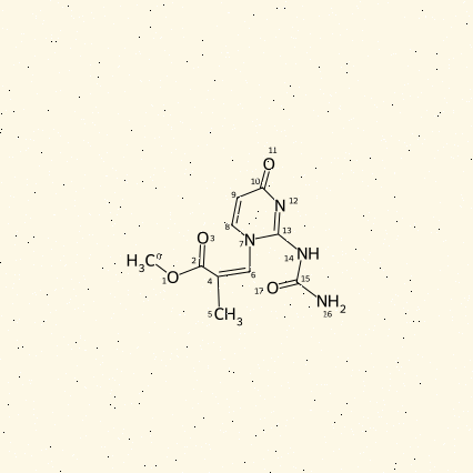 COC(=O)C(C)=Cn1ccc(=O)nc1NC(N)=O